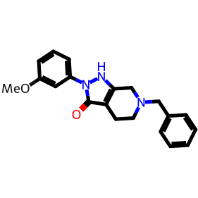 COc1cccc(-n2[nH]c3c(c2=O)CCN(Cc2ccccc2)C3)c1